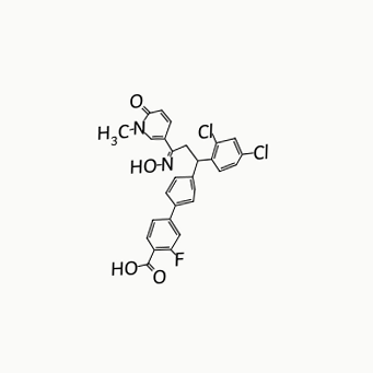 Cn1cc(C(CC(c2ccc(-c3ccc(C(=O)O)c(F)c3)cc2)c2ccc(Cl)cc2Cl)=NO)ccc1=O